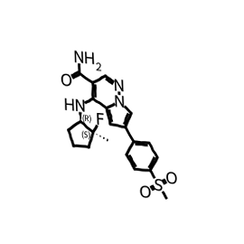 C[C@]1(F)CCC[C@H]1Nc1c(C(N)=O)cnn2cc(-c3ccc(S(C)(=O)=O)cc3)cc12